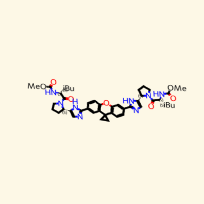 CC[C@H](C)[C@H](NC(=O)OC)C(=O)N1CCC[C@H]1c1cnc(-c2ccc3c(c2)Oc2ccc(-c4ncc([C@@H]5CCCN5C(=O)[C@@H](NC(=O)OC)[C@@H](C)CC)[nH]4)cc2C32CC2)[nH]1